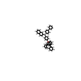 c1ccc(-c2ccc(N(c3ccc(-c4ccc5c(c4)-c4c6cccc4-c4cccc-5c4-c4ccccc4-6)cc3)c3ccc4ccccc4c3)cc2)cc1